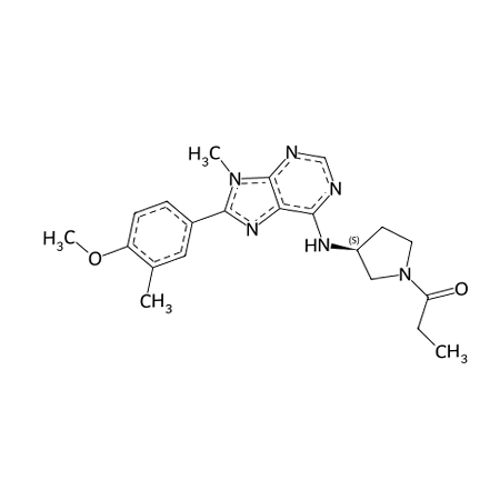 CCC(=O)N1CC[C@H](Nc2ncnc3c2nc(-c2ccc(OC)c(C)c2)n3C)C1